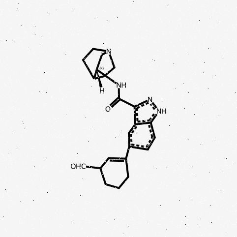 O=CC1C=C(c2ccc3[nH]nc(C(=O)N[C@H]4CN5CCC4CC5)c3c2)CCC1